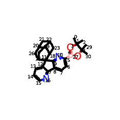 CC1(C)OB(c2ccc3c(n2)C2(c4cccnc4-3)C3CC4CC(C3)CC2C4)OC1(C)C